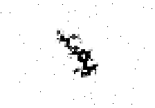 CCn1ncc(C(F)(F)F)c1-c1cc(F)cc(C(=O)NC[C@@H](N)C(=O)O)c1